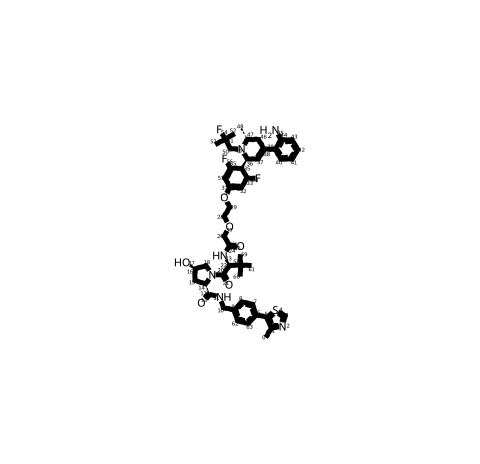 Cc1ncsc1-c1ccc(CNC(=O)[C@@H]2C[C@@H](O)CN2C(=O)[C@@H](NC(=O)COCCOC2=CC(F)C([C@@H]3C=C(c4ccccc4N)C[C@@H](C)N3CC(C)(C)F)C(F)=C2)C(C)(C)C)cc1